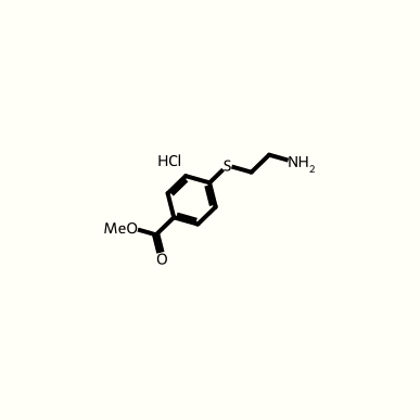 COC(=O)c1ccc(SCCN)cc1.Cl